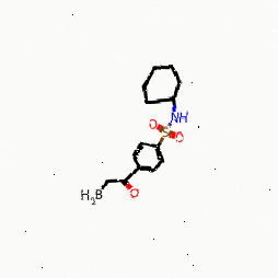 BCC(=O)c1ccc(S(=O)(=O)NC2CCCCC2)cc1